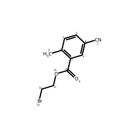 Cc1ccc(C#N)cc1C(=O)OCCBr